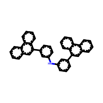 c1cc(Nc2cccc(-c3cc4ccccc4c4ccccc34)c2)cc(-c2cc3ccccc3c3ccccc23)c1